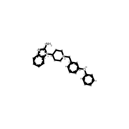 Nc1nc2ccccc2n1C1CCN(Cc2cccc(Oc3ccccc3)c2)CC1